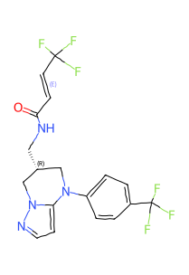 O=C(/C=C/C(F)(F)F)NC[C@@H]1CN(c2ccc(C(F)(F)F)cc2)c2ccnn2C1